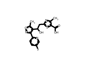 Cc1nc(CC(O)c2c(-c3ccc(F)cn3)noc2C)sc1C(=O)O